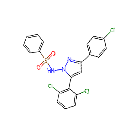 O=S(=O)(Nn1nc(-c2ccc(Cl)cc2)cc1-c1c(Cl)cccc1Cl)c1ccccc1